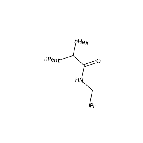 CCCCCCC(CCCCC)C(=O)NCC(C)C